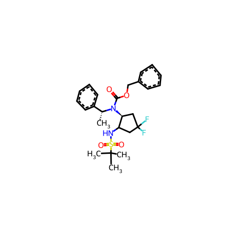 C[C@H](c1ccccc1)N(C(=O)OCc1ccccc1)[C@H]1CC(F)(F)CC1NS(=O)(=O)C(C)(C)C